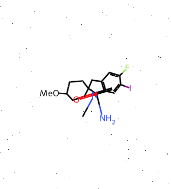 COC1CCC2(CC1)Cc1cc(F)c(I)cc1C21N=C(N)N(C)C1=O